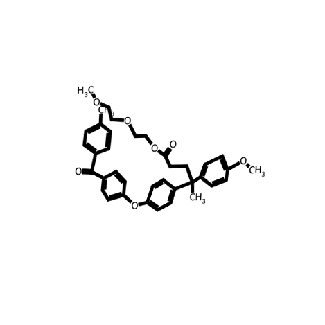 COCCOCCOC(=O)CCC(C)(c1ccc(OC)cc1)c1ccc(Oc2ccc(C(=O)c3ccc(C)cc3)cc2)cc1